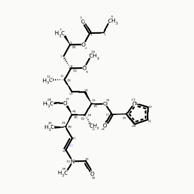 CCC(=O)O[C@H](C)C[C@H](OC)[C@@H](C)CC[C@@H](OC(=O)c1ccco1)[C@H](C)[C@H](OC)[C@H](C)/C=C/N(C)C=O